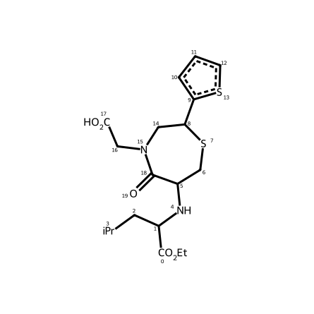 CCOC(=O)C(CC(C)C)NC1CSC(c2cccs2)CN(CC(=O)O)C1=O